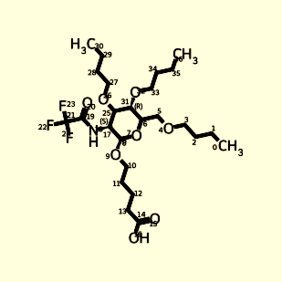 CCCCOCC1O[C@@H](OCCCCC(=O)O)[C@@H](NC(=O)C(F)(F)F)C(OCCCC)[C@H]1OCCCC